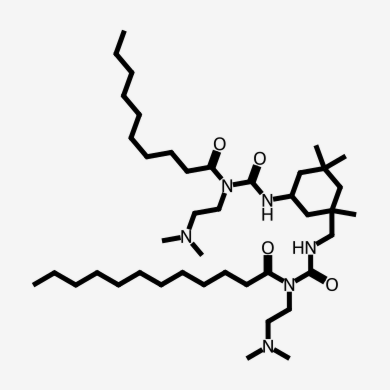 CCCCCCCCCCCC(=O)N(CCN(C)C)C(=O)NCC1(C)CC(NC(=O)N(CCN(C)C)C(=O)CCCCCCCCC)CC(C)(C)C1